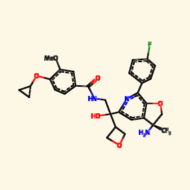 COc1cc(C(=O)NCC(O)(c2cc3c(c(-c4ccc(F)cc4)n2)OC[C@@]3(N)C(F)(F)F)C2COC2)ccc1OC1CC1